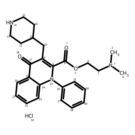 CN(C)CCOC(=O)c1c(CC2CCNCC2)c(=O)c2ccccc2n1-c1ccccc1.Cl